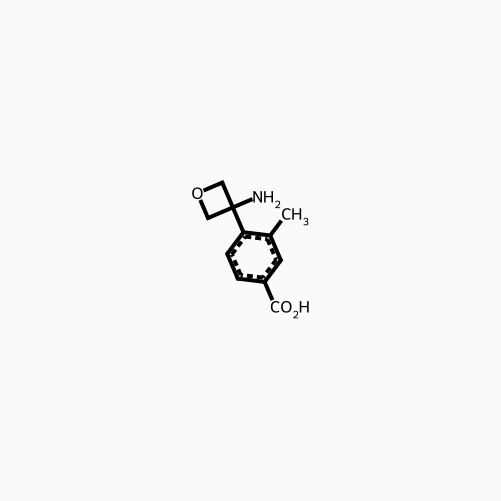 Cc1cc(C(=O)O)ccc1C1(N)COC1